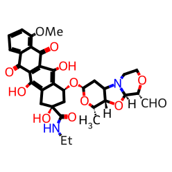 CCNC(=O)[C@]1(O)Cc2c(O)c3c(c(O)c2[C@@H](O[C@H]2CC4[C@H](O[C@@H]5[C@@H](C=O)OCCN45)[C@H](C)O2)C1)C(=O)c1c(OC)cccc1C3=O